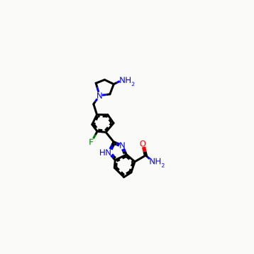 NC(=O)c1cccc2[nH]c(-c3ccc(CN4CCC(N)C4)cc3F)nc12